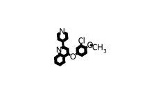 COc1ccc(Oc2cc(-c3ccncc3)nc3ccccc23)cc1Cl